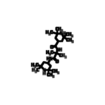 CC1(C)CC(NC(=O)C(C)(C)NC(=O)C2CC(C)(C)NC(C)(C)C2)CC(C)(C)N1